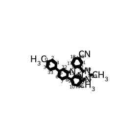 Cc1ccc(-c2ccc3c4ccccc4n(-c4ccc(C#N)cc4-c4nc(C)nc(C)n4)c3c2)cc1